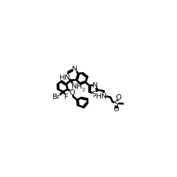 CS(=O)(=O)CCNCc1nc(-c2ccc3c(c2)C(N)(C2=CC=CC(F)(Br)C2OCc2ccccc2)NC=N3)cs1